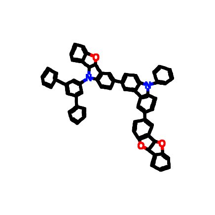 c1ccc(-c2cc(-c3ccccc3)cc(N3c4ccc(-c5ccc6c(c5)c5cc(-c7ccc8c(c7)C7Oc9ccccc9C7O8)ccc5n6-c5ccccc5)cc4C4Oc5ccccc5C43)c2)cc1